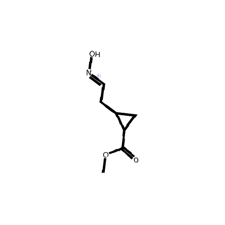 COC(=O)C1CC1C/C=N/O